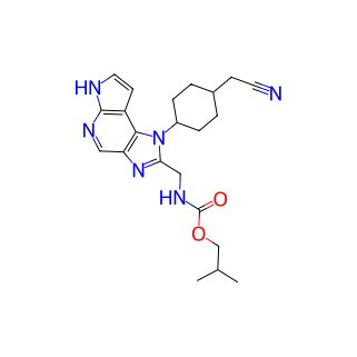 CC(C)COC(=O)NCc1nc2cnc3[nH]ccc3c2n1C1CCC(CC#N)CC1